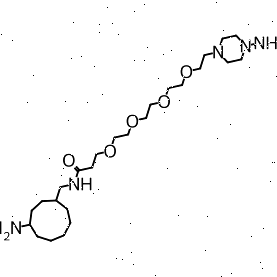 NC1CCCCCC(CNC(=O)CCOCCOCCOCCOCCN2CCN(N)CC2)CC1